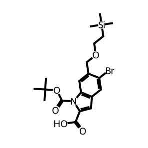 CC(C)(C)OC(=O)n1c(C(=O)O)cc2cc(Br)c(COCC[Si](C)(C)C)cc21